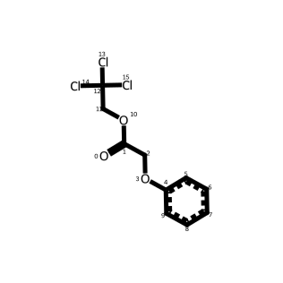 O=C(COc1[c]cccc1)OCC(Cl)(Cl)Cl